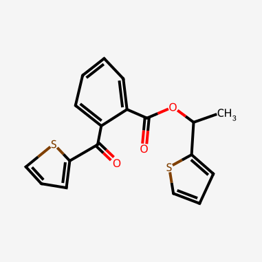 CC(OC(=O)c1ccccc1C(=O)c1cccs1)c1cccs1